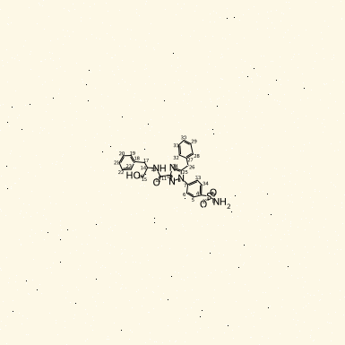 NS(=O)(=O)c1ccc(-n2nc(C(=O)NC(CO)Cc3ccccc3)nc2Cc2ccccc2)cc1